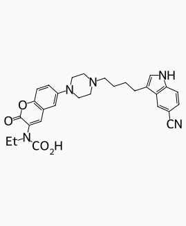 CCN(C(=O)O)c1cc2cc(N3CCN(CCCCc4c[nH]c5ccc(C#N)cc45)CC3)ccc2oc1=O